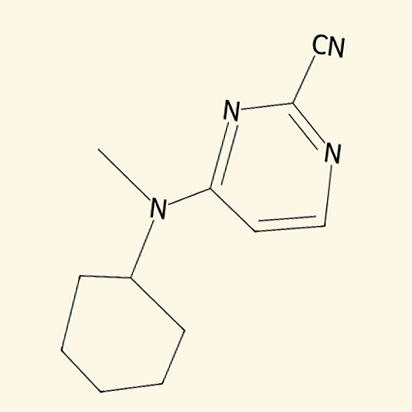 CN(c1ccnc(C#N)n1)C1CCCCC1